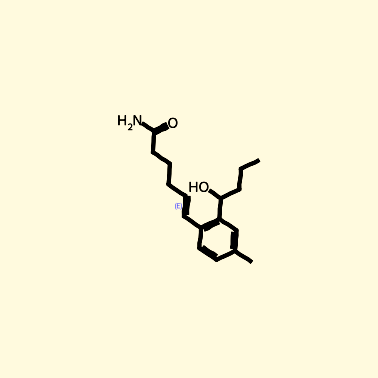 CCCC(O)c1cc(C)ccc1/C=C/CCCC(N)=O